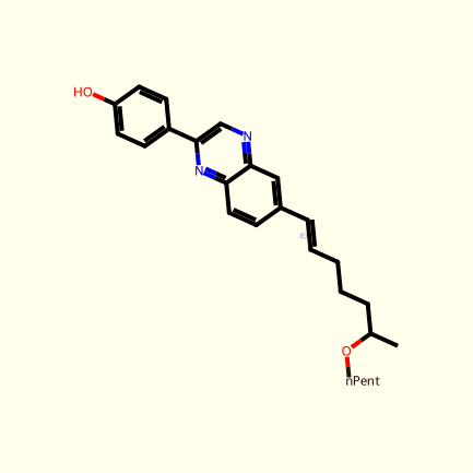 CCCCCOC(C)CCC/C=C/c1ccc2nc(-c3ccc(O)cc3)cnc2c1